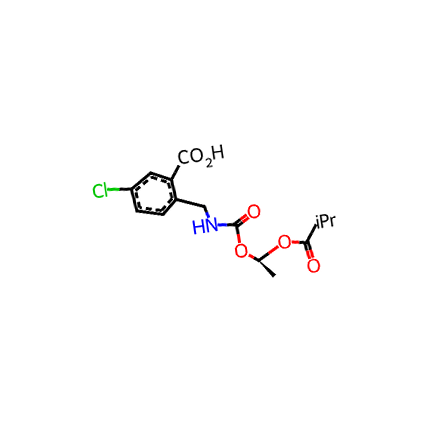 CC(C)C(=O)O[C@@H](C)OC(=O)NCc1ccc(Cl)cc1C(=O)O